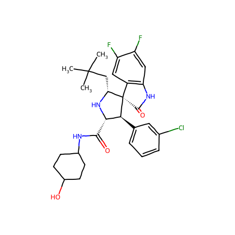 CC(C)(C)C[C@H]1N[C@@H](C(=O)NC2CCC(O)CC2)[C@H](c2cccc(Cl)c2)[C@@]12C(=O)Nc1cc(F)c(F)cc12